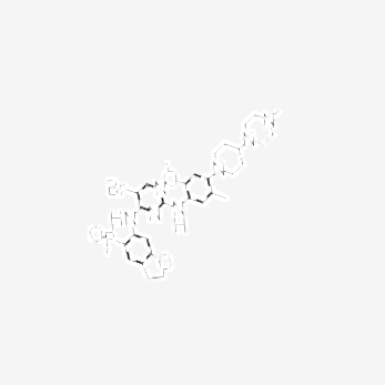 COc1cc(N2CCC(N3CCN(C)CC3)CC2)c(C)cc1Nc1ncc(Br)c(Nc2cc3c(cc2P(C)(C)=O)CCO3)n1